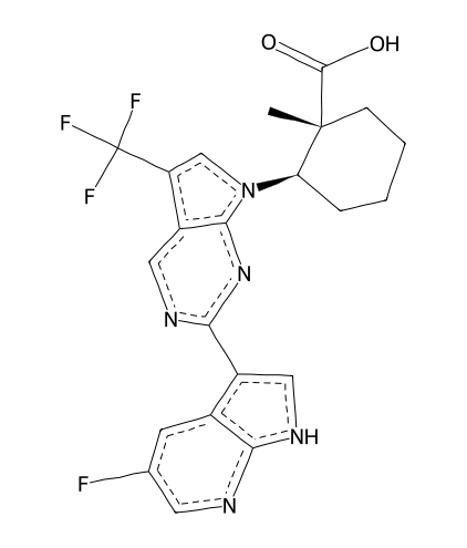 C[C@@]1(C(=O)O)CCCC[C@H]1n1cc(C(F)(F)F)c2cnc(-c3c[nH]c4ncc(F)cc34)nc21